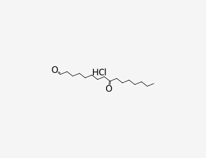 CCCCCCCC(=O)CCCCCCCC=O.Cl